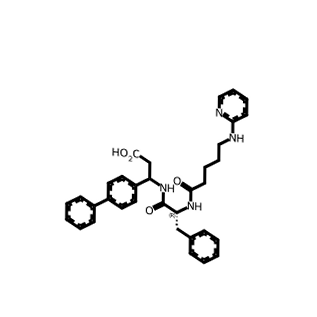 O=C(O)CC(NC(=O)[C@@H](Cc1ccccc1)NC(=O)CCCCNc1ccccn1)c1ccc(-c2ccccc2)cc1